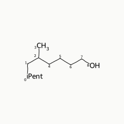 CCCC(C)CC(C)CCCCO